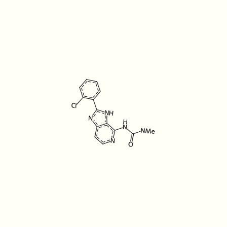 CNC(=O)Nc1nccc2nc(-c3ccccc3Cl)[nH]c12